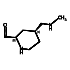 CNC[C@H]1CCN[C@@H](C=O)C1